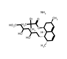 CCC(C)(C)C(=O)O[C@H]1C[C@@H](C)C=C2C=C[C@H](C)[C@H](CCC(O)CC(O)CC(=O)O)[C@H]21.N